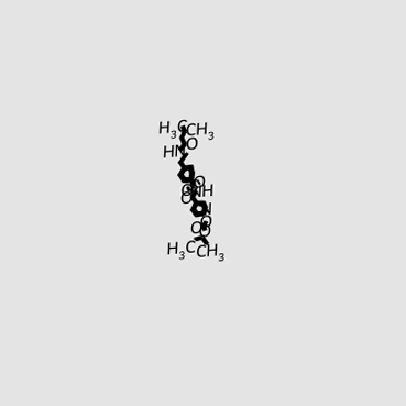 CCC(CC)OC(=O)Oc1ccc(C(=O)NS(=O)(=O)c2ccc(CCNC(=O)CC(C)C)cc2)cn1